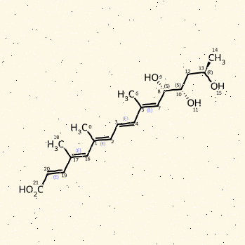 CC(=C\C=C\C(C)=C\[C@H](O)[C@@H](O)C[C@@H](C)O)/C=C(C)/C=C/C(=O)O